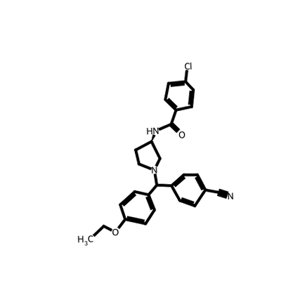 CCOc1ccc(C(c2ccc(C#N)cc2)N2CC[C@@H](NC(=O)c3ccc(Cl)cc3)C2)cc1